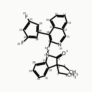 CCC1(CC)C(=O)N(Cc2ncc3ccccc3c2-c2cc(F)cc(F)c2)c2ccccc21